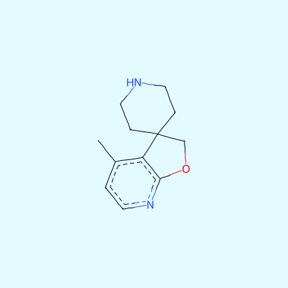 Cc1ccnc2c1C1(CCNCC1)CO2